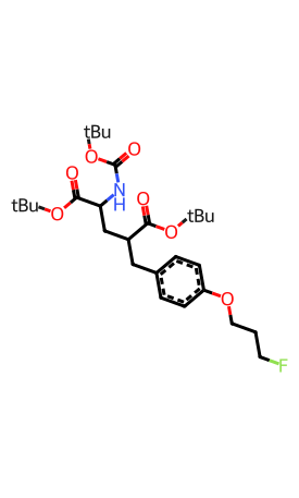 CC(C)(C)OC(=O)NC(CC(Cc1ccc(OCCCF)cc1)C(=O)OC(C)(C)C)C(=O)OC(C)(C)C